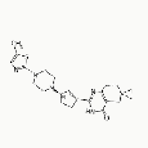 Cc1cnc(N2CCN([C@H]3C=C(c4nc5c(c(=O)[nH]4)CC4(CC5)CC4)CC3)CC2)s1